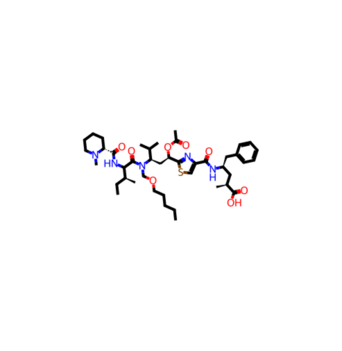 CCCCCOCN(C(=O)C(NC(=O)[C@H]1CCCCN1C)[C@@H](C)CC)[C@H](C[C@@H](OC(C)=O)c1nc(C(=O)N[C@@H](Cc2ccccc2)C[C@H](C)C(=O)O)cs1)C(C)C